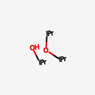 CC(C)O.CC(C)OC(C)C